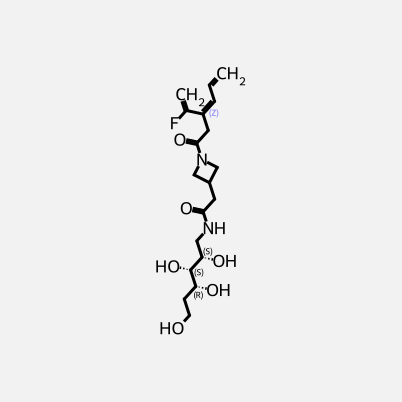 C=C/C=C(/CC(=O)N1CC(CC(=O)NC[C@H](O)[C@@H](O)[C@H](O)CCO)C1)C(=C)F